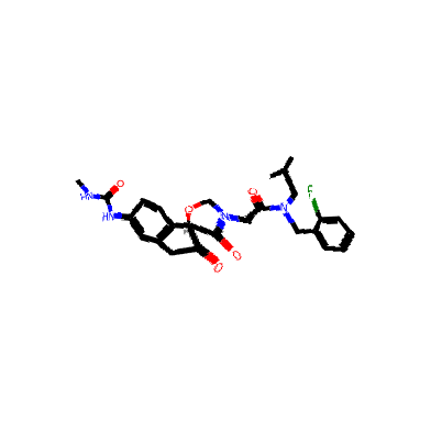 CNC(=O)Nc1ccc2c(c1)CC(=O)[C@]21OCN(CC(=O)N(Cc2ccccc2F)CC(C)C)C1=O